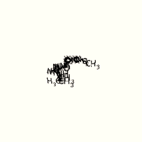 CCOCCN1CCN(c2cccc(C(=O)NCc3cnc(C#N)nc3NCC(C)(C)C)c2)CC1